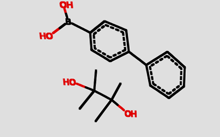 CC(C)(O)C(C)(C)O.OB(O)c1ccc(-c2ccccc2)cc1